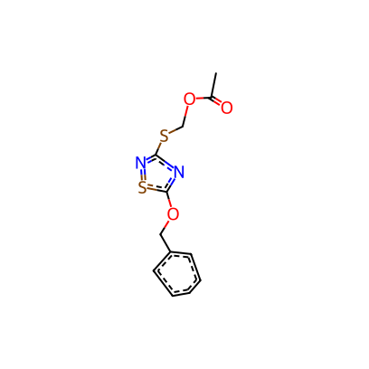 CC(=O)OCSc1nsc(OCc2ccccc2)n1